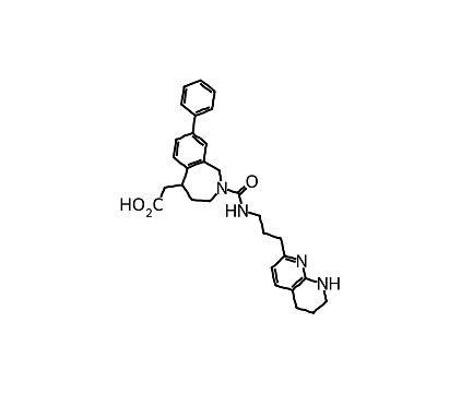 O=C(O)CC1CCN(C(=O)NCCCc2ccc3c(n2)NCCC3)Cc2cc(-c3ccccc3)ccc21